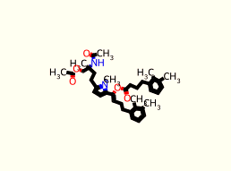 CC(=O)N[C@](C)(CCc1ccc(C(=CCCc2cccc(C)c2C)OC(=O)CCCc2cccc(C)c2C)n1C)COC(C)=O